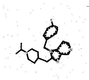 CC(C)N1CCC(Cc2nc3cnccc3n2Cc2ccc(F)cc2)CC1